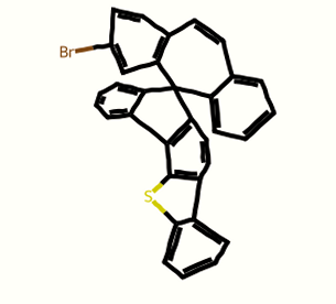 Brc1ccc2c(c1)C1(c3ccccc3C=C2)c2ccccc2-c2c1ccc1c2sc2ccccc21